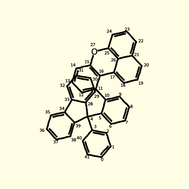 c1ccc(C2(c3ccccc3-c3cccc4c3-c3cccc5cccc(c35)O4)c3ccccc3-c3ccccc32)cc1